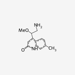 COC(CN)c1cc(=O)[nH]c2cc(C)ccc12